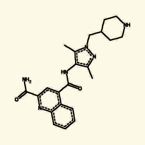 Cc1nn(CC2CCNCC2)c(C)c1NC(=O)c1cc(C(N)=O)nc2ccccc12